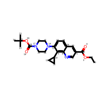 CCOC(=O)c1cnc2c(C3CC3)c(N3CCN(C(=O)OC(C)(C)C)CC3)ccc2c1